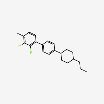 CCCC1CCC(c2ccc(-c3ccc(C)c(F)c3F)cc2)CC1